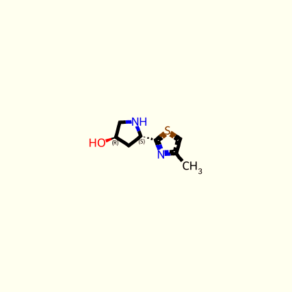 Cc1csc([C@@H]2C[C@@H](O)CN2)n1